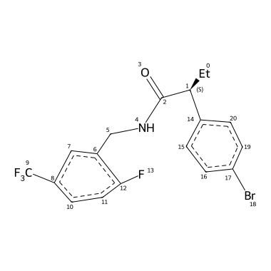 CC[C@H](C(=O)NCc1cc(C(F)(F)F)ccc1F)c1ccc(Br)cc1